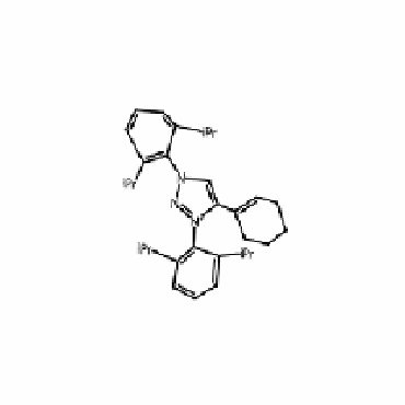 CC(C)c1cccc(C(C)C)c1-n1cc(C2=CCCCC2)[n+](-c2c(C(C)C)cccc2C(C)C)n1